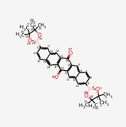 CC1(C)OB(c2ccc3cc4c(cc3c2)C(=O)c2cc3ccc(B5OC(C)(C)C(C)(C)O5)cc3cc2C4=O)OC1(C)C